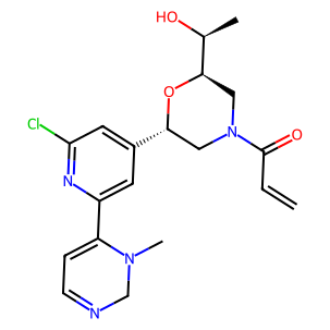 C=CC(=O)N1C[C@H](c2cc(Cl)nc(C3=CC=NCN3C)c2)O[C@@H]([C@H](C)O)C1